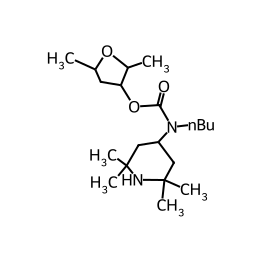 CCCCN(C(=O)OC1CC(C)OC1C)C1CC(C)(C)NC(C)(C)C1